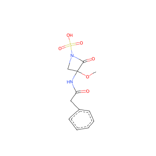 COC1(NC(=O)Cc2ccccc2)CN(S(=O)(=O)O)C1=O